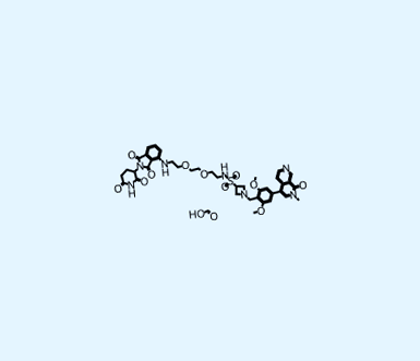 COc1cc(-c2cn(C)c(=O)c3cnccc23)cc(OC)c1CN1CC(S(=O)(=O)NCCOCCOCCNc2cccc3c2C(=O)N(C2CCC(=O)NC2=O)C3=O)C1.O=CO